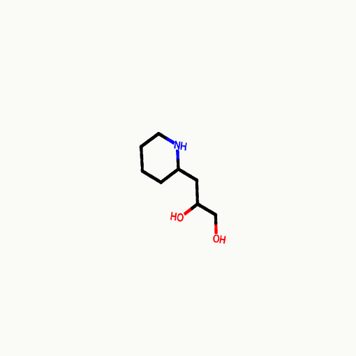 OCC(O)CC1CCCCN1